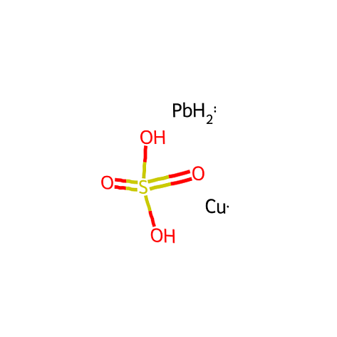 O=S(=O)(O)O.[Cu].[PbH2]